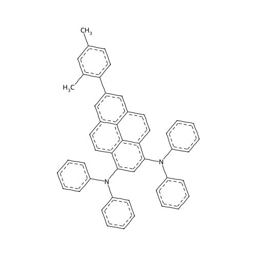 Cc1ccc(-c2cc3ccc4c(N(c5ccccc5)c5ccccc5)cc(N(c5ccccc5)c5ccccc5)c5ccc(c2)c3c45)c(C)c1